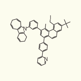 Cc1c(-c2cccc(-n3c4c(c5c3CCC=C5)C=CCC=C4)c2)cc(-c2ccc(-c3ccccn3)cc2)c2ccc3cc(C(C)(C)C)cc(CI)c3c12